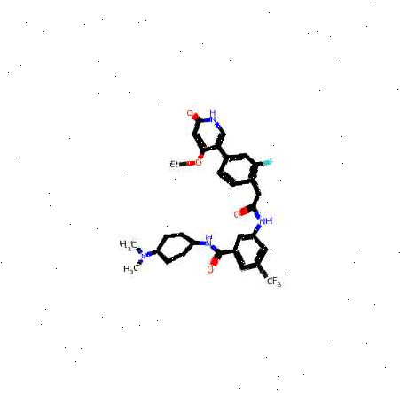 CCOc1cc(=O)[nH]cc1-c1ccc(CC(=O)Nc2cc(C(=O)NC3CCC(N(C)C)CC3)cc(C(F)(F)F)c2)c(F)c1